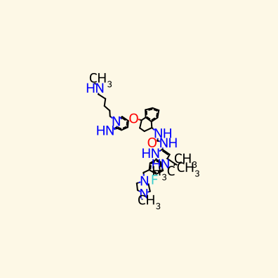 CCNCCCCCn1cc(OC2CCC(NC(=O)N/C(=C/C(=N)C(C)(C)C)Nc3ccc(F)c(CN4CCN(C)CC4)c3)c3ccccc32)ccc1=N